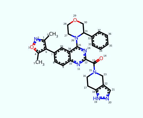 Cc1noc(C)c1-c1ccc2nc(C(=O)N3CCc4[nH]ncc4C3)nc(N3CCOCC3c3ccccc3)c2c1